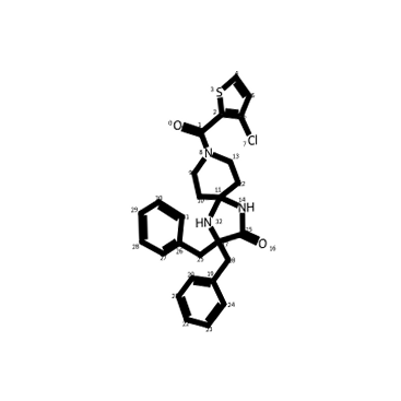 O=C(c1sccc1Cl)N1CCC2(CC1)NC(=O)C(Cc1ccccc1)(Cc1ccccc1)N2